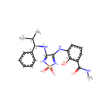 CNC(=O)c1cccc(NC2=NS(=O)(=O)N=C2N[C@@H](c2ccccc2)C(C)C)c1O